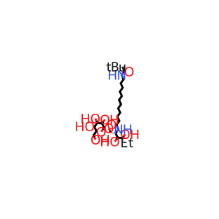 CC[C@@H](O)C(O)[C@H](CO[C@H]1OC(CO)[C@H](O)C(O)C1O)NC(=O)CCCCCCCCCCCNC(=O)C(C)(C)C